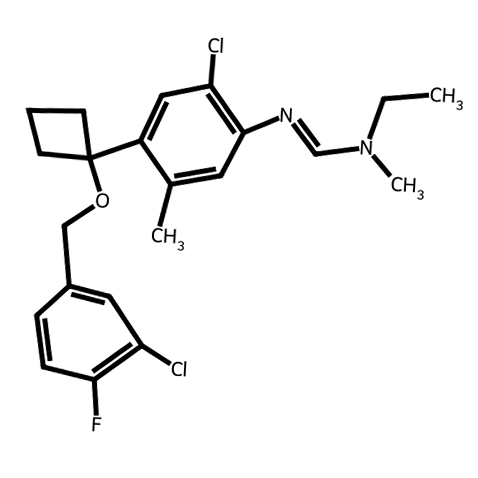 CCN(C)C=Nc1cc(C)c(C2(OCc3ccc(F)c(Cl)c3)CCC2)cc1Cl